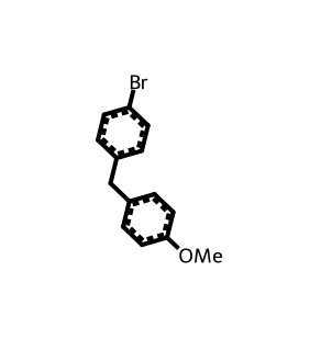 COc1ccc(Cc2ccc(Br)cc2)cc1